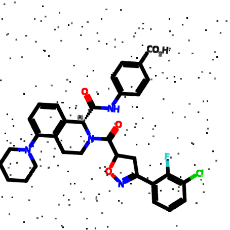 O=C(O)c1ccc(NC(=O)[C@H]2c3cccc(N4CCCCC4)c3CCN2C(=O)C2CC(c3cccc(Cl)c3F)=NO2)cc1